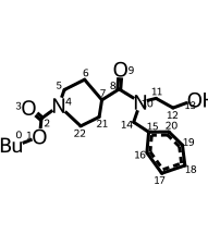 CC(C)(C)OC(=O)N1CCC(C(=O)N(CCO)Cc2ccccc2)CC1